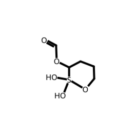 O=COC1CCCOS1(O)O